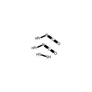 CCCN=C=O.CCCN=C=O.SS